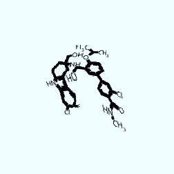 CNC(=O)c1ccc(-c2ccc(OC(C)C)c(C(O)NC3(CO)CCc4[nH]c5cc(Cl)c(F)cc5c4C3)c2)cc1Cl